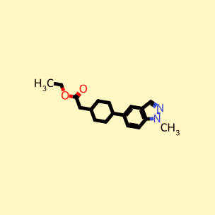 CCOC(=O)CC1CCC(c2ccc3c(cnn3C)c2)CC1